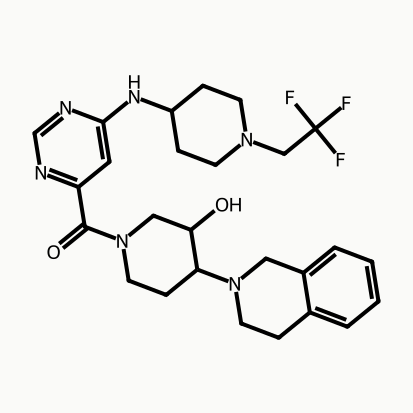 O=C(c1cc(NC2CCN(CC(F)(F)F)CC2)ncn1)N1CCC(N2CCc3ccccc3C2)C(O)C1